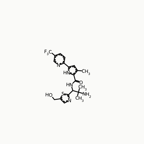 Cc1cc(-c2ccc(C(F)(F)F)cn2)[nH]c1C(=O)NC(c1ncc(CO)s1)C(C)(C)N